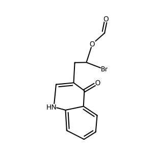 O=COC(Br)Cc1c[nH]c2ccccc2c1=O